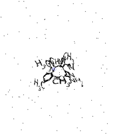 Cc1ccc2c(c1)[C@@H](C)Oc1cc(cnc1N)-c1c(nn(C)c1C#N)C/C(N(C)C)=N\2